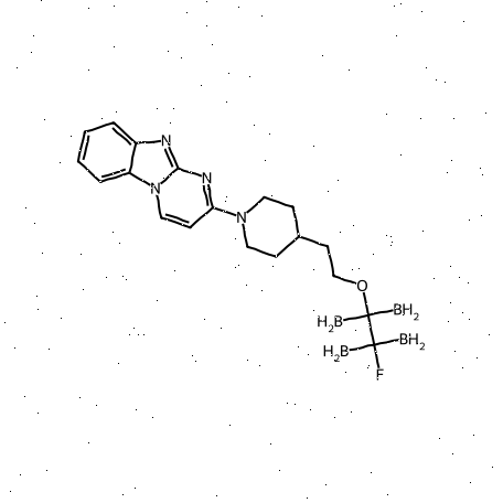 BC(B)(F)C(B)(B)OCCC1CCN(c2ccn3c(n2)nc2ccccc23)CC1